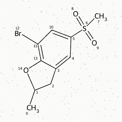 CC1Cc2cc(S(C)(=O)=O)cc(Br)c2O1